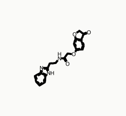 O=C(COc1ccc2c(c1)OCC2=O)NCCc1nc2ccccc2[nH]1